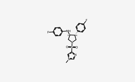 Cn1cnc(S(=O)(=O)N2C[C@@H](Nc3ccc(F)cc3)[C@H](c3ccc(F)cc3)C2)c1